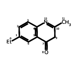 CCc1ccc2c(c1)C(=O)CC(C)=N2